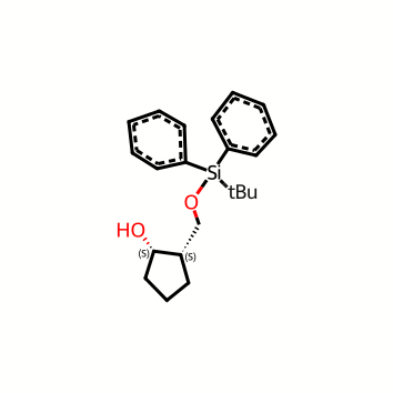 CC(C)(C)[Si](OC[C@@H]1CCC[C@@H]1O)(c1ccccc1)c1ccccc1